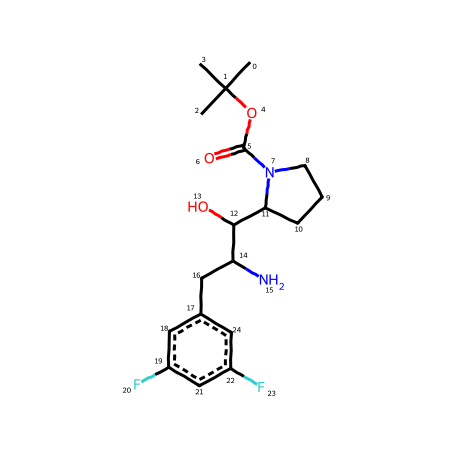 CC(C)(C)OC(=O)N1CCCC1C(O)C(N)Cc1cc(F)cc(F)c1